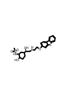 CS(=O)(=O)NC1CC([C@@H](O)CNCCOc2ccc3c(c2)sc2ccccc23)CCC1O